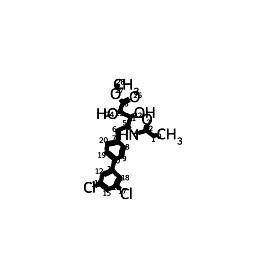 CCC(=O)NC(Cc1ccc(-c2cc(Cl)cc(Cl)c2)cc1)C(O)C(O)C(=O)OC